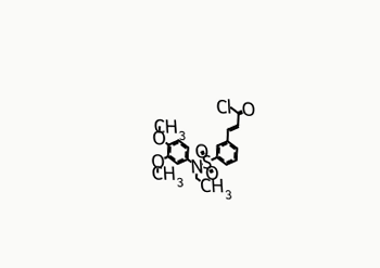 CCN(c1ccc(OC)c(OC)c1)S(=O)(=O)c1cccc(C=CC(=O)Cl)c1